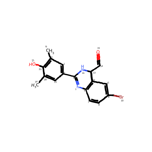 Cc1cc(C2=Nc3ccc(Br)cc3C(C=O)N2)cc(C)c1O